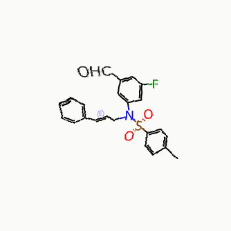 Cc1ccc(S(=O)(=O)N(C/C=C/c2ccccc2)c2cc(F)cc(C=O)c2)cc1